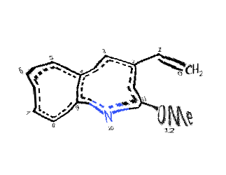 C=Cc1cc2ccccc2nc1OC